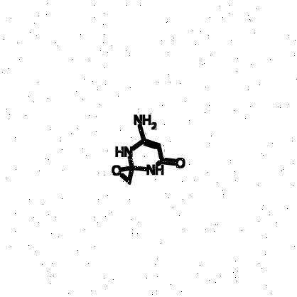 NC1=CC(=O)NC2(CO2)N1